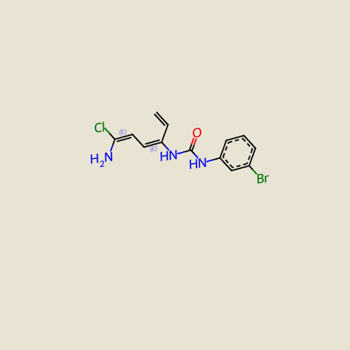 C=C/C(=C\C=C(/N)Cl)NC(=O)Nc1cccc(Br)c1